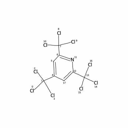 ClC(Cl)(Cl)c1cc(C(Cl)(Cl)Cl)nc(C(Cl)(Cl)Cl)c1